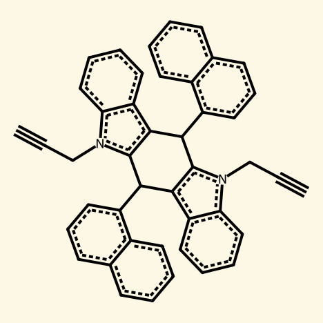 C#CCn1c2c(c3ccccc31)C(c1cccc3ccccc13)c1c(c3ccccc3n1CC#C)C2c1cccc2ccccc12